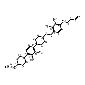 C=CCCOc1ccc(CCC2CCC(c3ccc(C4CCC(OCCCC)CC4)c(F)c3F)CC2)c(F)c1F